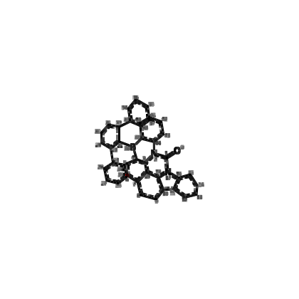 O=c1n2c3c(ccc4ccc5c6ccccc6n1c5c43)B(c1c(-c3ccccc3)cccc1-c1ccccc1)c1ccccc1-2